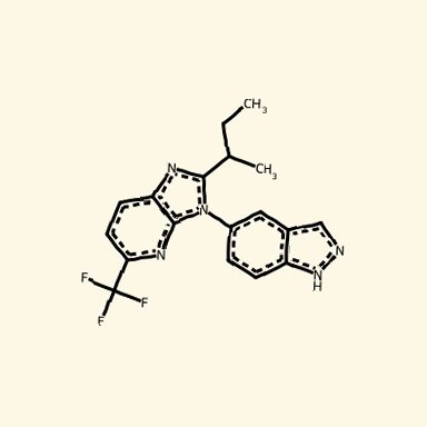 CCC(C)c1nc2ccc(C(F)(F)F)nc2n1-c1ccc2[nH]ncc2c1